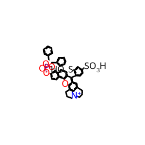 O=P(OCc1ccccc1)(OCc1ccccc1)Oc1ccc2c3c(ccc2c1)C(c1ccc(S(=O)(=O)O)cc1S(=O)(=O)O)=c1cc2c4c(c1O3)CCC[N+]=4CCC2